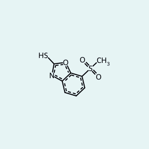 CS(=O)(=O)c1cccc2nc(S)oc12